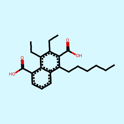 CCCCCCc1c(C(=O)O)c(CC)c(CC)c2c(C(=O)O)cccc12